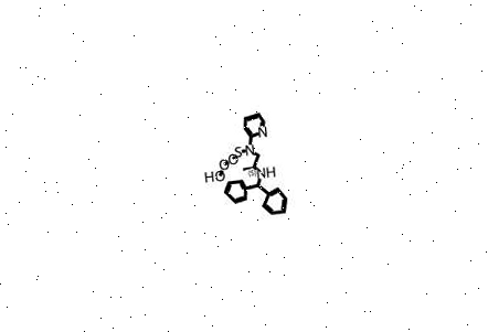 C[C@@H](CN(SOOO)c1ccccn1)NC(c1ccccc1)c1ccccc1